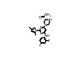 Cc1cc(C)n(-c2nc(Nc3ccc(F)cc3F)cc(N3CCN[C@@H](C(N)=O)C3)n2)n1